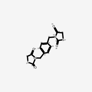 O=C1CSC(=O)N1Cc1ccc(CN2C(=O)CSC2=O)cc1